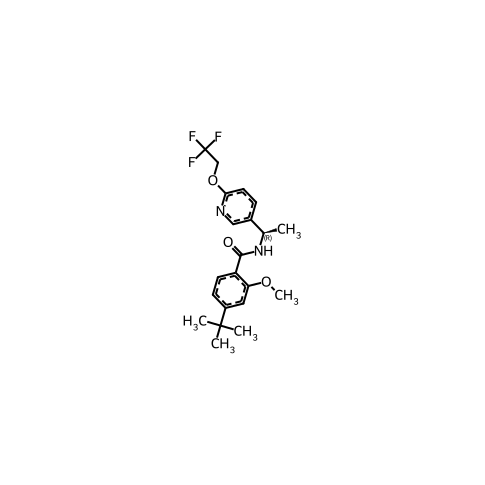 COc1cc(C(C)(C)C)ccc1C(=O)N[C@H](C)c1ccc(OCC(F)(F)F)nc1